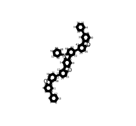 c1ccc(-c2ccc3oc4ccc(-c5ccc6oc7cc8c9cc(-c%10ccc%11oc%12ccc(-c%13ccccc%13)cc%12c%11c%10)ccc9n(-c9ccccc9)c8cc7c6c5)cc4c3c2)cc1